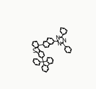 c1ccc(-c2nc(-c3ccccc3)nc(-c3ccc4cc(-c5cccc6sc7cc(C8(c9ccccc9)c9ccccc9-c9ccccc98)ccc7c56)ccc4c3)n2)cc1